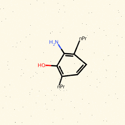 CCCc1ccc(CCC)c(O)c1N